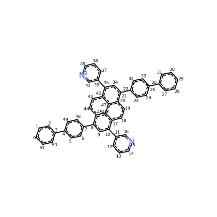 c1ccc(-c2ccc(-c3cc(-c4cccnc4)c4ccc5c(-c6ccc(-c7ccccc7)cc6)cc(-c6cccnc6)c6ccc3c4c56)cc2)cc1